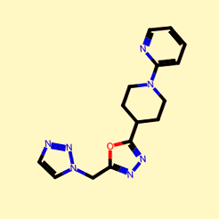 c1ccc(N2CCC(c3nnc(Cn4ccnn4)o3)CC2)nc1